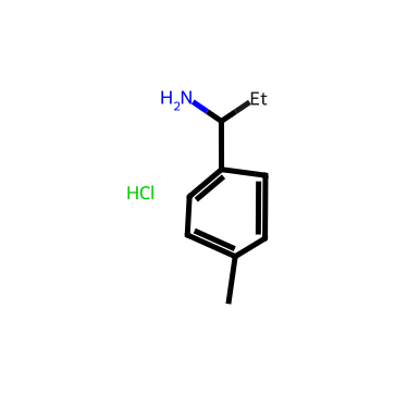 CCC(N)c1ccc(C)cc1.Cl